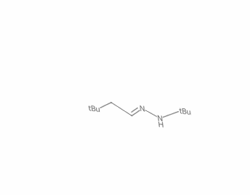 CC(C)(C)CC=NNC(C)(C)C